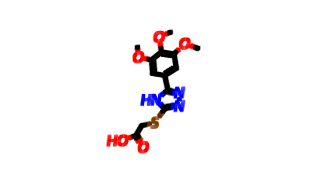 COc1cc(-c2nnc(SCC(=O)O)[nH]2)cc(OC)c1OC